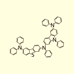 c1ccc(N(c2ccccc2)c2ccc3sc4cc(N(c5ccccc5)c5ccc6c7cc(N(c8ccccc8)c8ccccc8)ccc7n(-c7ccccc7)c6c5)ccc4c3c2)cc1